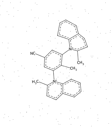 Cc1c(-[n+]2c(C)ccc3ccccc32)cc(C#N)cc1-[n+]1c(C)ccc2ccccc21